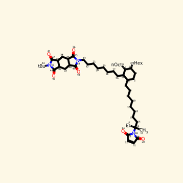 CCCCCCCCC1C(CCCCCC)CCC(CCCCCCCCC(C)(CC)N2C(=O)C=CC2=O)C1CCCCCCCCN1C(=O)C2CC3C(=O)N(C(C)(C)C)C(=O)C3CC2C1=O